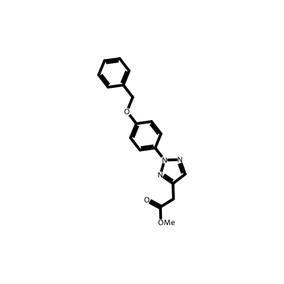 COC(=O)Cc1cnn(-c2ccc(OCc3ccccc3)cc2)n1